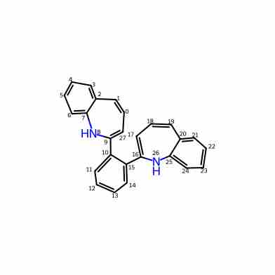 C1=Cc2ccccc2NC(c2ccccc2C2=CC=Cc3ccccc3N2)=C1